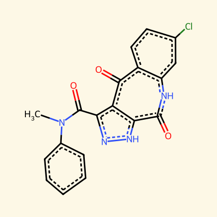 CN(C(=O)c1n[nH]c2c(=O)[nH]c3cc(Cl)ccc3c(=O)c12)c1ccccc1